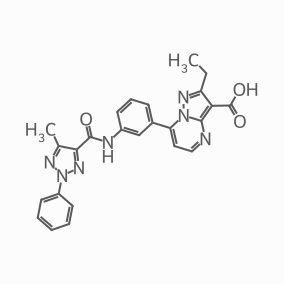 CCc1nn2c(-c3cccc(NC(=O)c4nn(-c5ccccc5)nc4C)c3)ccnc2c1C(=O)O